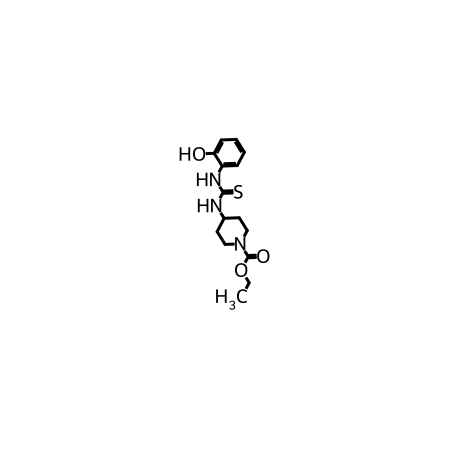 CCOC(=O)N1CCC(NC(=S)Nc2ccccc2O)CC1